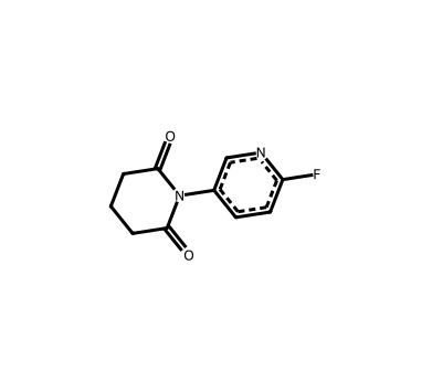 O=C1CCCC(=O)N1c1ccc(F)nc1